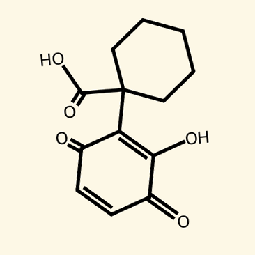 O=C1C=CC(=O)C(C2(C(=O)O)CCCCC2)=C1O